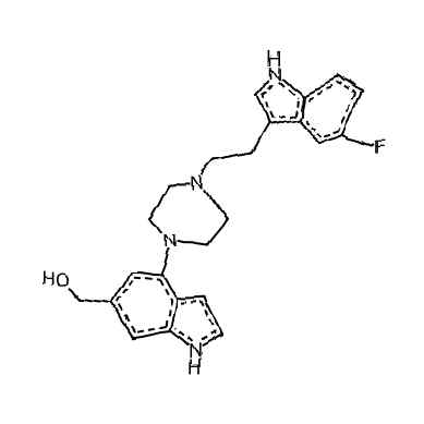 OCc1cc(N2CCN(CCc3c[nH]c4ccc(F)cc34)CC2)c2cc[nH]c2c1